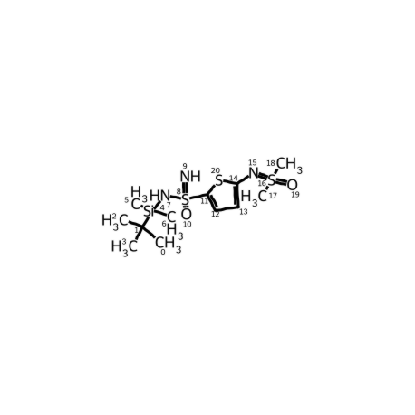 CC(C)(C)[Si](C)(C)NS(=N)(=O)c1ccc(N=S(C)(C)=O)s1